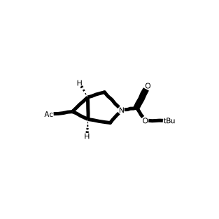 CC(=O)C1[C@H]2CN(C(=O)OC(C)(C)C)C[C@@H]12